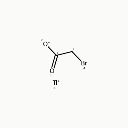 O=C([O-])CBr.[Tl+]